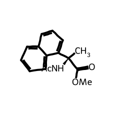 COC(=O)[C@](C)(NC(C)=O)c1cccc2ccccc12